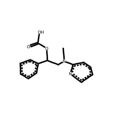 CN(CC(OC(=O)O)c1ccccc1)c1ccccn1